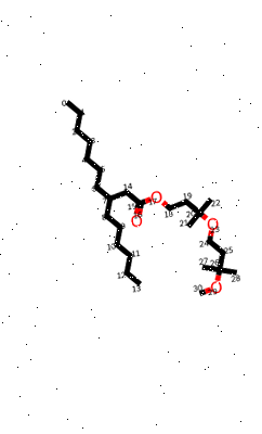 CCCCCCCC(CCCCCC)CC(=O)OCCC(C)(C)OCCC(C)(C)OC